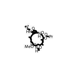 C=C1NC2(O)CC(O1)C(C)/C=C(\C)C(OC(=O)C(C)C)CC(=O)NC1=CC(=O)C(NCCN(C)C)=C(C/C(C)=C/C=C/C2OC)C1=O